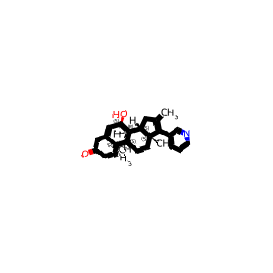 CC1=C(c2cccnc2)[C@@]2(C)CC[C@H]3[C@@H]([C@H](O)C=C4CC(=O)CC[C@@]43C)[C@@H]2C1